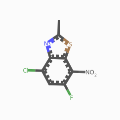 Cc1nc2c(Cl)cc(F)c([N+](=O)[O-])c2s1